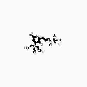 CC[Si](CC)(CC)c1cc(Br)nc(C/C=N/[S@+]([O-])C(C)(C)C)c1Cl